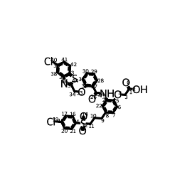 O=C(O)COc1ccc(CCCS(=O)(=O)c2ccc(Cl)cc2)cc1NC(=O)c1ccccc1OCc1nc2cc(Cl)ccc2s1